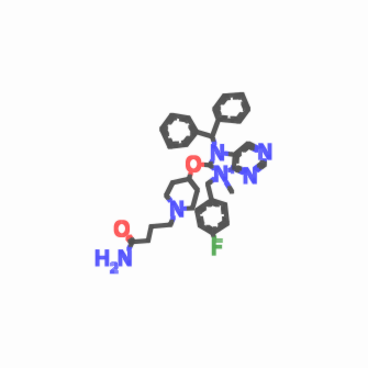 C[N+]1(Cc2ccc(F)cc2)c2ncncc2N(C(c2ccccc2)c2ccccc2)C1OC1CCN(CCCC(N)=O)CC1